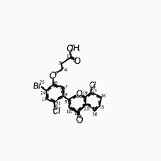 O=C(O)CCOc1cc(-c2cc(=O)c3cccc(Cl)c3o2)c(Cl)cc1Br